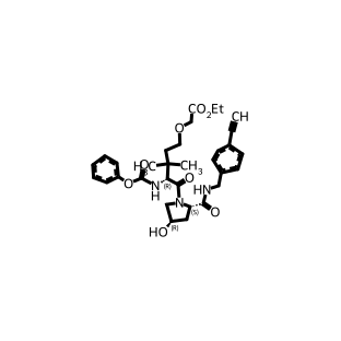 C#Cc1ccc(CNC(=O)[C@@H]2C[C@@H](O)CN2C(=O)[C@H](NC(=O)Oc2ccccc2)C(C)(C)CCOCC(=O)OCC)cc1